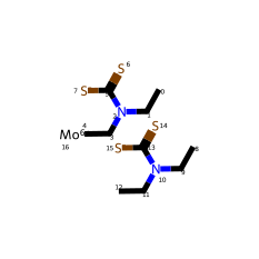 CCN(CC)C(=S)[S-].CCN(CC)C(=S)[S-].[Mo+6]